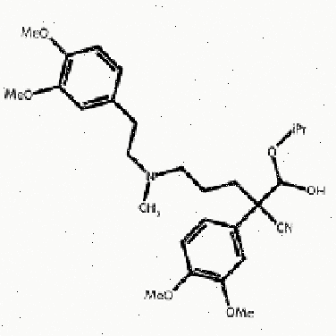 COc1ccc(CCN(C)CCCC(C#N)(c2ccc(OC)c(OC)c2)C(O)OC(C)C)cc1OC